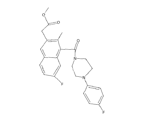 COC(=O)Cc1cc2ccc(F)cc2c(C(=O)N2CCN(c3ccc(F)cc3)CC2)c1C